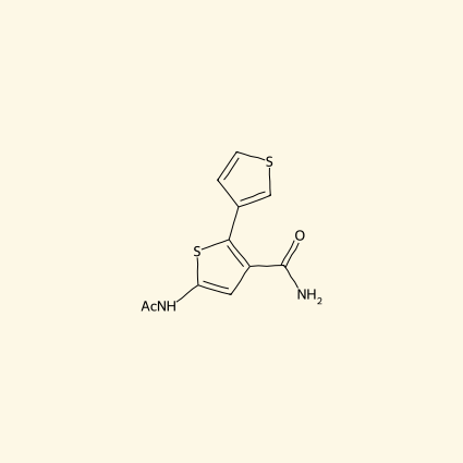 CC(=O)Nc1cc(C(N)=O)c(-c2ccsc2)s1